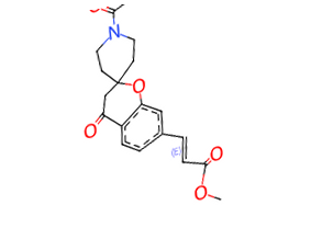 COC(=O)/C=C/c1ccc2c(c1)OC1(CCN(C(C)=O)CC1)CC2=O